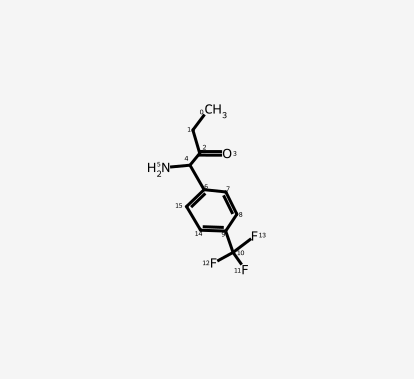 CCC(=O)C(N)c1ccc(C(F)(F)F)cc1